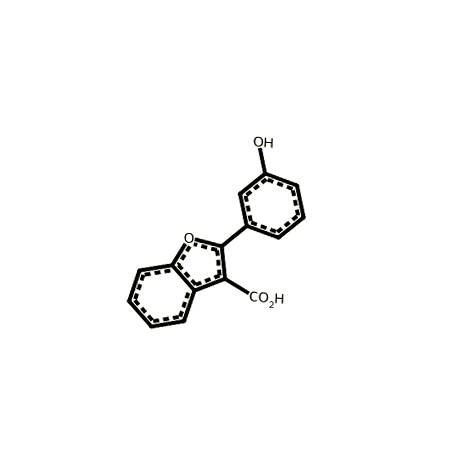 O=C(O)c1c(-c2cccc(O)c2)oc2ccccc12